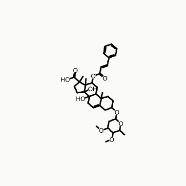 COC1CC(OC2CCC3(C)C(=CCC4(O)C3CC(OC(=O)/C=C/c3ccccc3)C3(C)C(C)(C(=O)O)CCC43O)C2)OC(C)C1OC